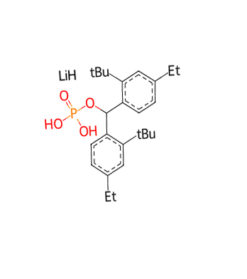 CCc1ccc(C(OP(=O)(O)O)c2ccc(CC)cc2C(C)(C)C)c(C(C)(C)C)c1.[LiH]